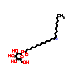 CCCCCCCC/C=C\CCCCCCCCCCCC(=O)OC1O[C@H](CO)[C@@H](O)[C@H](O)[C@H]1O